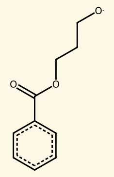 [O]CCCOC(=O)c1ccccc1